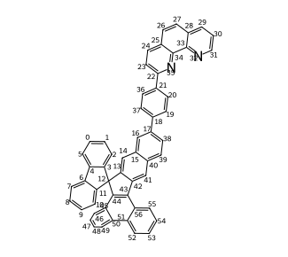 c1ccc2c(c1)-c1ccccc1C21c2cc3cc(-c4ccc(-c5ccc6ccc7cccnc7c6n5)cc4)ccc3cc2-c2c1c1ccccc1c1ccccc21